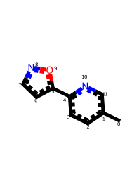 Cc1ccc(-c2ccno2)nc1